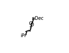 CCCCCCCCCCCCCCCC(=O)OC/C=C(\C)CCCC(C)CCCC(C)CCCC(C)C